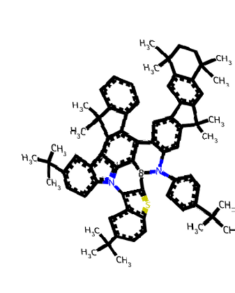 CC(C)(C)c1ccc(N2B3c4sc5ccc(C(C)(C)C)cc5c4-n4c5ccc(C(C)(C)C)cc5c5c6c(c(c3c54)-c3cc4c(cc32)C(C)(C)c2cc3c(cc2-4)C(C)(C)CCC3(C)C)-c2ccccc2C6(C)C)cc1